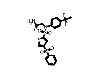 NC(=O)CN(c1ccc(C(F)(F)F)cc1)S(=O)(=O)c1cc(S(=O)(=O)c2ccccc2)cs1